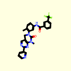 Cc1ccc(NC(=O)c2cccc(C(F)(F)F)c2)cc1N1Cc2cnc(-c3cccnc3)nc2N(C)C1=O